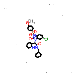 COc1ccc(S(=O)(=O)n2c(=O)n(C(C(=O)NCc3ccccc3)c3ccccc3)c3cc(Cl)ccc32)cc1